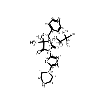 CC1(C)C(=O)N(c2nnc(N3CCOCC3)o2)C(=O)[N+]1(Cc1ccncc1)OC(=O)C(F)(F)F